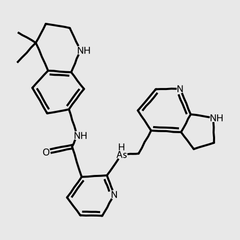 CC1(C)CCNc2cc(NC(=O)c3cccnc3[AsH]Cc3ccnc4c3CCN4)ccc21